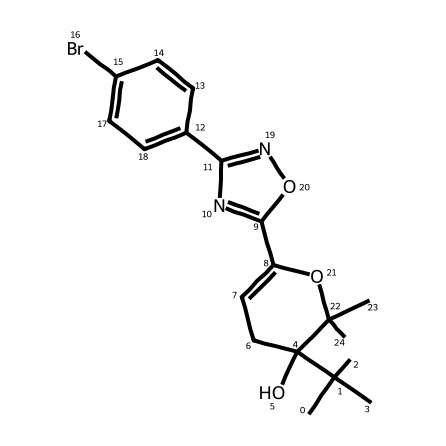 CC(C)(C)C1(O)CC=C(c2nc(-c3ccc(Br)cc3)no2)OC1(C)C